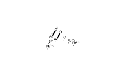 CC(=O)[O-].CC(=O)[O-].[Pb+2].[Pb+2].[Pb+2].[S-2].[S-2]